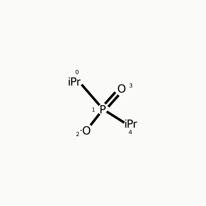 CC(C)P([O])(=O)C(C)C